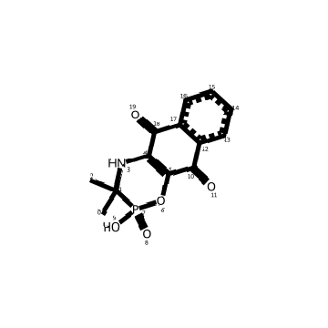 CC1(C)NC2=C(OP1(=O)O)C(=O)c1ccccc1C2=O